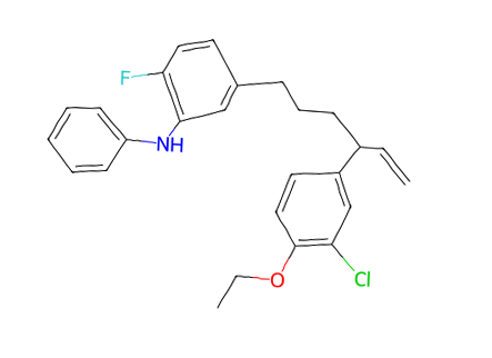 C=CC(CCCc1ccc(F)c(Nc2ccccc2)c1)c1ccc(OCC)c(Cl)c1